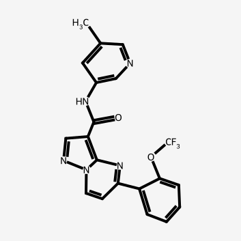 Cc1cncc(NC(=O)c2cnn3ccc(-c4ccccc4OC(F)(F)F)nc23)c1